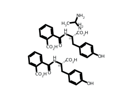 CC(N)N.O=C(O)c1ccccc1C(=O)N[C@@H](Cc1ccc(O)cc1)C(=O)O.O=C(O)c1ccccc1C(=O)N[C@@H](Cc1ccc(O)cc1)C(=O)O